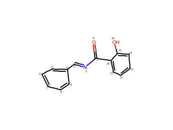 O=C(N=Cc1ccccc1)c1ccccc1O